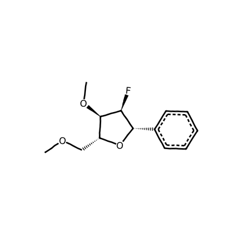 COC[C@H]1O[C@@H](c2ccccc2)[C@H](F)[C@@H]1OC